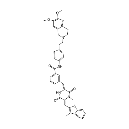 COc1cc2c(cc1OC)CN(CCc1ccc(NC(=O)c3cccc(C=c4[nH]c(=O)c(=Cc5sc6ccccc6c5C)n(C)c4=O)c3)cc1)CC2